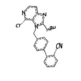 CCCCc1nc2ccnc(Cl)c2n1Cc1ccc(-c2ccccc2C#N)cc1